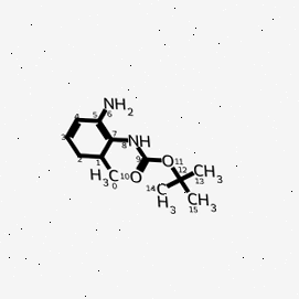 CC1CC=CC(N)=C1NC(=O)OC(C)(C)C